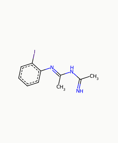 CC(=N)N/C(C)=N/c1ccccc1I